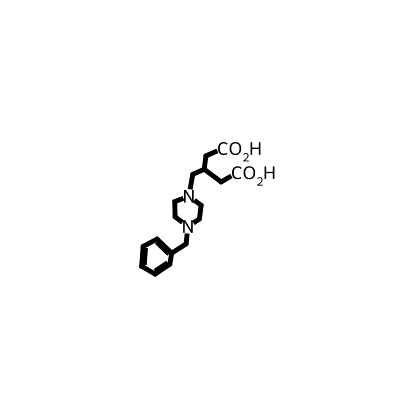 O=C(O)CC(CC(=O)O)CN1CCN(Cc2ccccc2)CC1